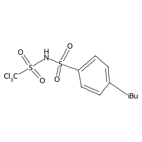 CCC(C)c1ccc(S(=O)(=O)NS(=O)(=O)C(Cl)(Cl)Cl)cc1